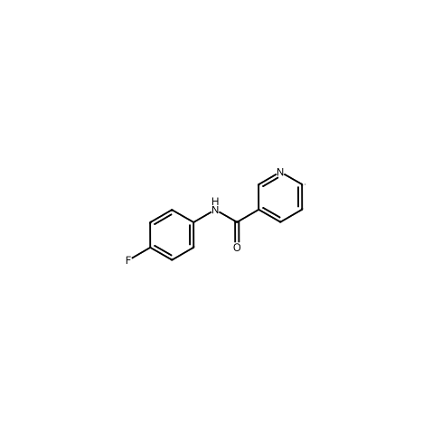 O=C(Nc1ccc(F)cc1)c1cc[c]nc1